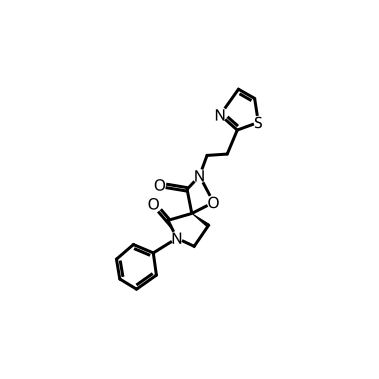 O=C1N(CCc2nccs2)O[C@@]12CCN(c1ccccc1)C2=O